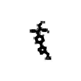 N#CCc1cc(-c2ccc([C@@H](O)[C@H](N)CF)cc2)on1